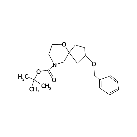 CC(C)(C)OC(=O)N1CCOC2(CCC(OCc3ccccc3)C2)C1